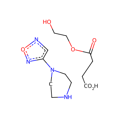 O=C(O)CCC(=O)OCCO.c1nonc1N1CCNCC1